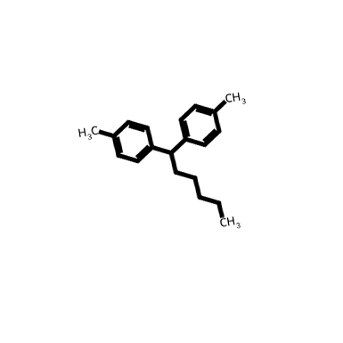 CCCCCC(c1ccc(C)cc1)c1ccc(C)cc1